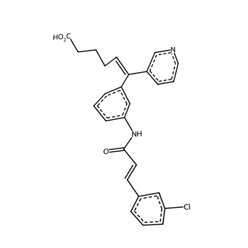 O=C(O)CCCC=C(c1cccnc1)c1cccc(NC(=O)/C=C/c2cccc(Cl)c2)c1